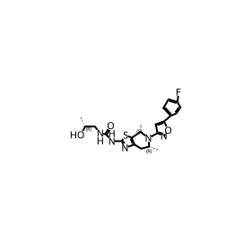 C[C@@H]1Cc2nc(NC(=O)NC[C@@H](C)O)sc2[C@H](C)N1c1cc(-c2ccc(F)cc2)on1